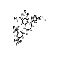 Cc1cc2c(cc1C(F)(F)F)N(c1nnn(C)n1)CC[C@H](Cc1cc(C(F)(F)F)cc(C(F)(F)F)c1)[CH]2